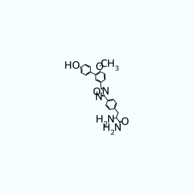 COc1ccc(-c2nc(-c3ccc(C[C@H](N)C(N)=O)cc3)no2)cc1-c1ccc(O)cc1